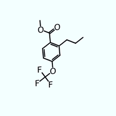 CCCc1cc(OC(F)(F)F)ccc1C(=O)OC